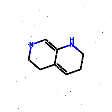 C1=C2CC[N]C=C2NCC1